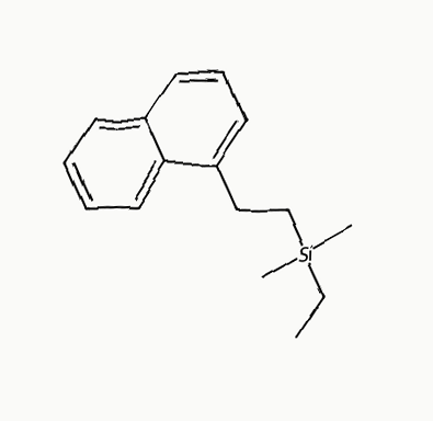 CC[Si](C)(C)CCc1cccc2ccccc12